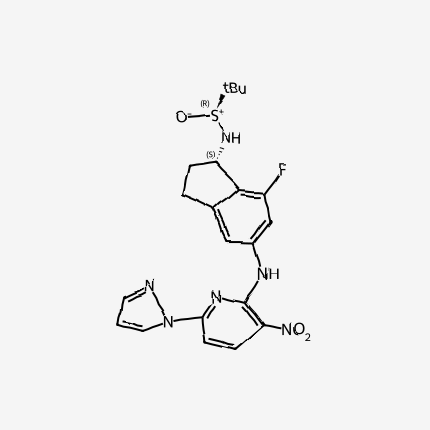 CC(C)(C)[S@+]([O-])N[C@H]1CCc2cc(Nc3nc(-n4cccn4)ccc3[N+](=O)[O-])cc(F)c21